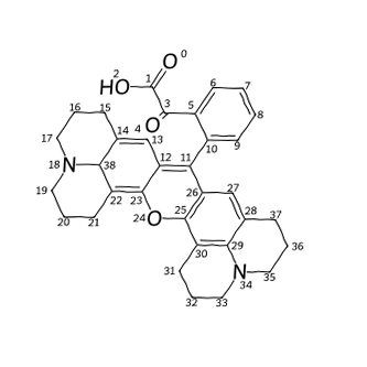 O=C(O)C(=O)c1ccccc1C1=C2C=C3CCCN4CCCC(=C2Oc2c1cc1c5c2CCCN5CCC1)C34